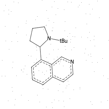 CC(C)(C)N1CCCC1c1cccc2ccncc12